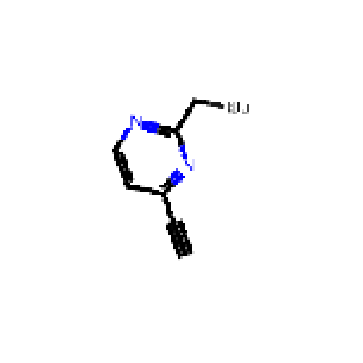 C#Cc1ccnc(CC(C)(C)C)n1